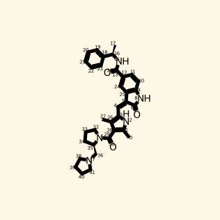 Cc1[nH]c(/C=C2\C(=O)Nc3ccc(C(=O)N[C@H](C)c4ccccc4)cc32)c(C)c1C(=O)N1CCC[C@@H]1CN1CCCC1